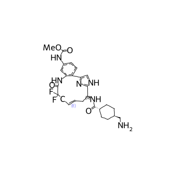 COC(=O)Nc1ccc2c(c1)NC(=O)C(F)(F)C/C=C/C[C@H](NC(=O)[C@H]1CC[C@H](CN)CC1)c1nc-2c[nH]1